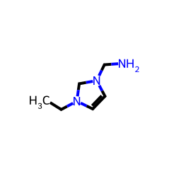 CCN1C=CN(CN)C1